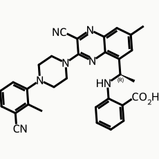 Cc1cc([C@@H](C)Nc2ccccc2C(=O)O)c2nc(N3CCN(c4cccc(C#N)c4C)CC3)c(C#N)nc2c1